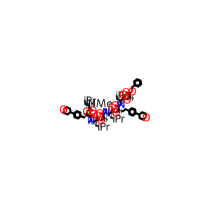 CN[C@@H](CC(C)C)C(=O)O[C@H](Cc1ccc(C2CCOCC2)cc1)C(=O)N(C)[C@@H](CC(C)C)C(=O)O[C@H](C)C(=O)N(C)[C@@H](CC(C)C)C(=O)O[C@H](CCc1ccc(C2CCOCC2)cc1)C(=O)N(C)[C@@H](CC(C)C)C(=O)O[C@H](C)C(=O)OCc1ccccc1